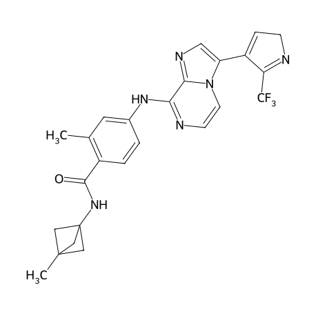 Cc1cc(Nc2nccn3c(C4=CCN=C4C(F)(F)F)cnc23)ccc1C(=O)NC12CC(C)(C1)C2